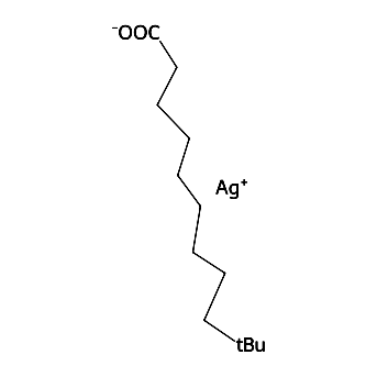 CC(C)(C)CCCCCCCCC(=O)[O-].[Ag+]